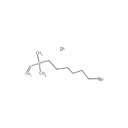 [CH2]C(CC)CCCCCC[Si](C)(C)C=C.[Zn]